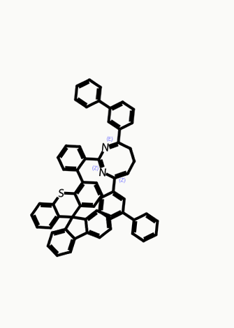 C1=C(c2cccc(-c3ccccc3)c2)/N=C(c2ccccc2-c2cccc3c2Sc2ccccc2C32c3ccccc3-c3ccccc32)\N=C(\c2cccc(-c3ccccc3)c2)CC\1